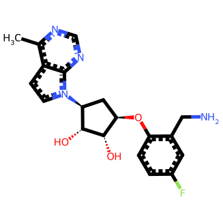 Cc1ncnc2c1ccn2[C@H]1C[C@@H](Oc2ccc(F)cc2CN)[C@H](O)[C@@H]1O